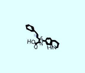 O=C(O)c1nc(-c2ccc3c(c2)NCCC3)sc1/C=C/c1ccccc1